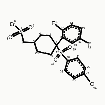 CCS(=O)(=O)CC1CCC(c2cc(F)ccc2F)(S(=O)(=O)c2ccc(Cl)cc2)CC1